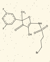 CC1(c2cc(F)cc(F)c2)OC(NS(=O)(=O)CCCBr)=C(O)C1=O